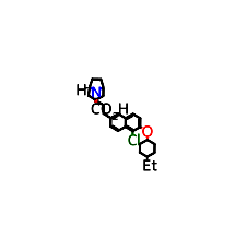 CC[C@H]1CC[C@@H](Oc2ccc3cc(CCCN4C5CC[C@@H]4CC(C(=O)O)C5)ccc3c2Cl)CC1